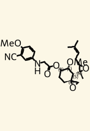 COc1ccc(NCC(=O)O[C@@H]2CC[C@]3(CO3)[C@@H]([C@@]3(C)OC3CC=C(C)C)[C@@H]2OC)cc1C#N